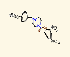 CC(C)(C)c1ccc(CN2CCN(C(=S)Sc3ccc([N+](=O)[O-])cc3[N+](=O)[O-])CC2)cc1